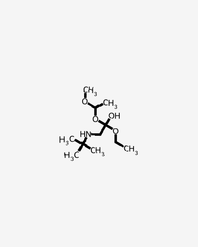 CCOC(O)(CNC(C)(C)C)OC(C)OC